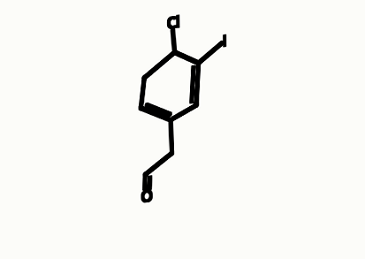 O=CCC1=CCC(Cl)C(I)=C1